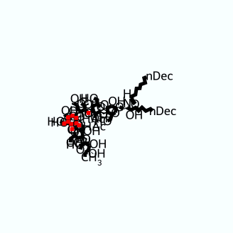 CCCCCCCCCCCCC/C=C/[C@@H](O)[C@H](CO[C@@H]1OC(CO)[C@@H](O[C@@H]2OC(CO)[C@H](O[C@@H]3OC(CO)[C@H](O[C@@H]4OC(CO)[C@H](O)[C@H](O[C@@H]5OC(CO)[C@H](O)[C@H](O[C@H]6C(O)[C@H](O)C(C)O[C@H]6O)C5O)C4NC(C)=O)[C@H](O[C@@H]4OC(CO)[C@H](O)[C@H](O)C4NC(C)=O)C3O)[C@H](O)C2O)[C@H](O)C1O)NC(=O)CCCCCCCCCCCCCCCCC